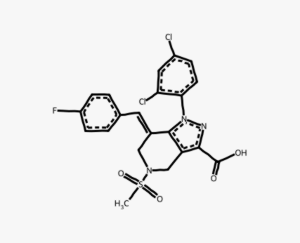 CS(=O)(=O)N1C/C(=C\c2ccc(F)cc2)c2c(c(C(=O)O)nn2-c2ccc(Cl)cc2Cl)C1